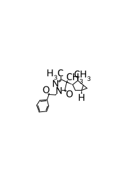 CC1=NN(CC(=O)c2ccccc2)C(=O)C1(C)[C@@H]1C[C@H]2CC2[C@@H]1C